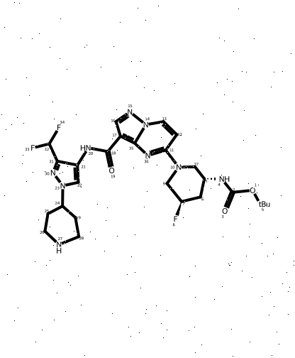 CC(C)(C)OC(=O)N[C@@H]1C[C@@H](F)CN(c2ccn3ncc(C(=O)Nc4cn(C5CCNCC5)nc4C(F)F)c3n2)C1